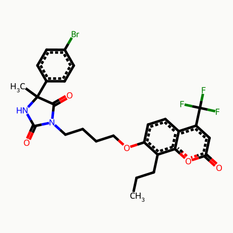 CCCc1c(OCCCCN2C(=O)NC(C)(c3ccc(Br)cc3)C2=O)ccc2c(C(F)(F)F)cc(=O)oc12